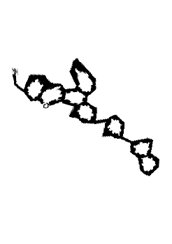 N=Cc1ccc2c(c1)oc1c3ccc(-c4ccc(-c5ccc6ccccc6c5)cc4)cc3c3ccccc3c21